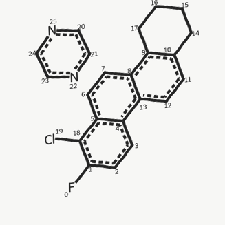 Fc1ccc2c(ccc3c4c(ccc32)CCCC4)c1Cl.c1cnccn1